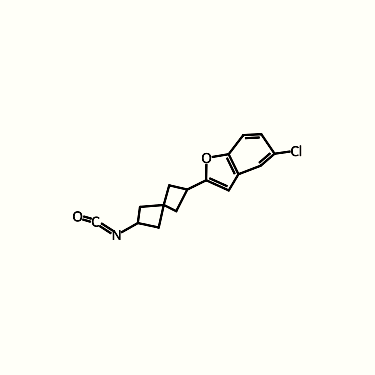 O=C=NC1CC2(C1)CC(c1cc3cc(Cl)ccc3o1)C2